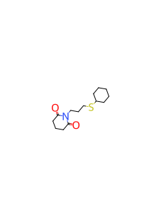 O=C1CCCC(=O)N1CCCSC1CCCCC1